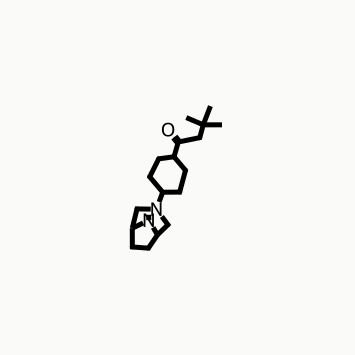 CN1C2CCC1CN(C1CCC(C(=O)CC(C)(C)C)CC1)C2